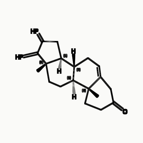 C[C@]12CCC(=O)CC1=CC[C@@H]1[C@@H]2CC[C@]2(C)C(=P)C(=P)C[C@@H]12